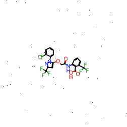 O=C(COc1cc(C(F)(F)F)nn1-c1ccccc1Cl)Nc1cccc(C(F)(F)F)c1C(=O)O